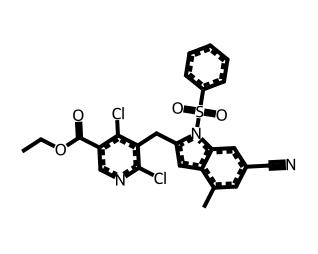 CCOC(=O)c1cnc(Cl)c(Cc2cc3c(C)cc(C#N)cc3n2S(=O)(=O)c2ccccc2)c1Cl